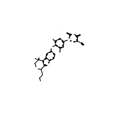 CC1(C)COC(CCO)c2[nH]c3ccc(Oc4c(Cl)cc(-n5nc(C#N)c(=O)[nH]c5=O)cc4Cl)cc3c21